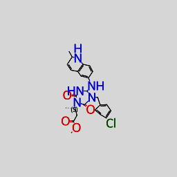 COC(=O)C[C@H](C)N1C(=O)NC(Nc2ccc3c(c2)C=CC(C)N3)N(Cc2ccc(Cl)cc2)C1=O